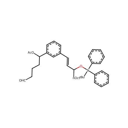 CCCCCCCCC(/C=C/c1cccc(C(CCCC=O)OC(C)=O)c1)O[Si](c1ccccc1)(c1ccccc1)C(C)(C)C